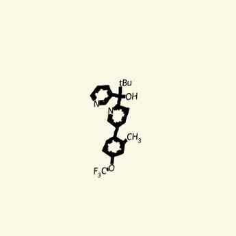 Cc1cc(OC(F)(F)F)ccc1-c1ccc(C(O)(c2cccnc2)C(C)(C)C)nc1